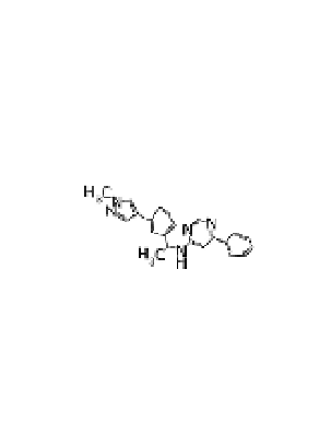 CC(Nc1cc(-c2ccccc2)ncn1)c1cccc(-c2cnn(C)c2)c1